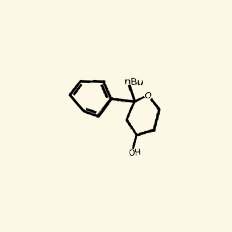 CCCCC1(c2ccccc2)CC(O)CCO1